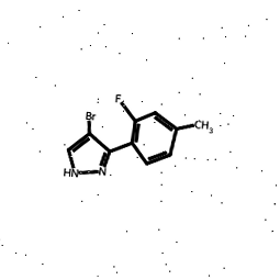 Cc1ccc(-c2n[nH]cc2Br)c(F)c1